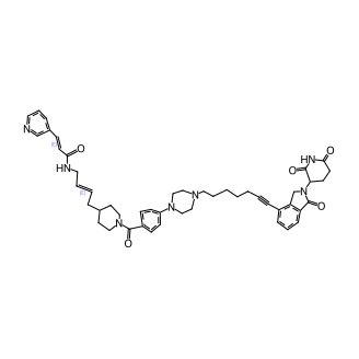 O=C(/C=C/c1cccnc1)NC/C=C/CC1CCN(C(=O)c2ccc(N3CCN(CCCCCC#Cc4cccc5c4CN(C4CCC(=O)NC4=O)C5=O)CC3)cc2)CC1